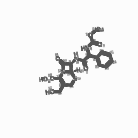 CC(C)(C)OC(=O)NC(C(=O)N[C@@H]1C(=O)N2C(C(=O)O)=C(CO)CS[C@H]12)c1ccccc1